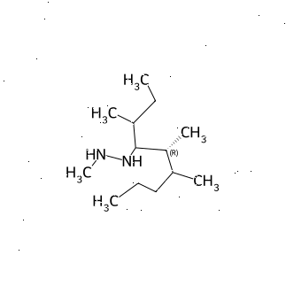 CCCC(C)[C@@H](C)C(NNC)C(C)CC